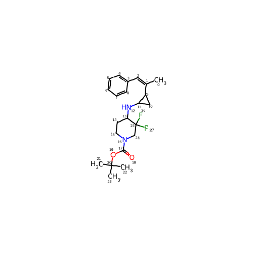 CC(=Cc1ccccc1)C1CC1NC1CCN(C(=O)OC(C)(C)C)CC1(F)F